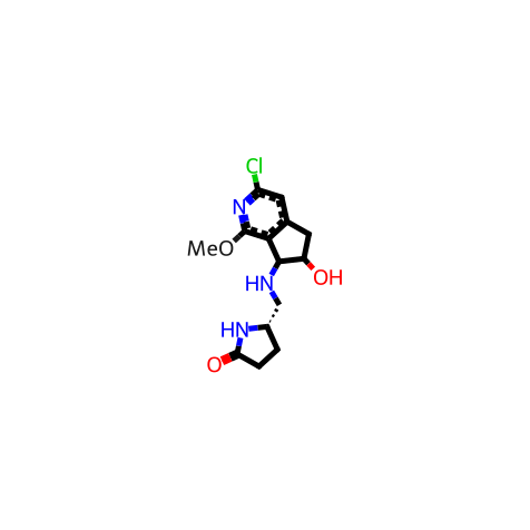 COc1nc(Cl)cc2c1C(NC[C@@H]1CCC(=O)N1)C(O)C2